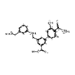 CNCc1cccc(NCc2cc(C(=O)OC)cc(-c3ccc(C(=O)OC)c(O)c3)c2)c1